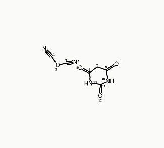 N#COC#N.O=C1CC(=O)NC(=O)N1